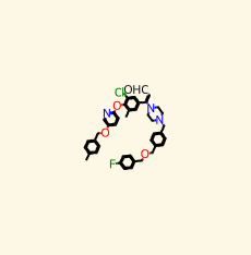 Cc1ccc(COc2ccc(Oc3c(C)cc(/C(=C\C=O)N4CCN(Cc5ccc(COCc6ccc(F)cc6)cc5)CC4)cc3Cl)nc2)cc1